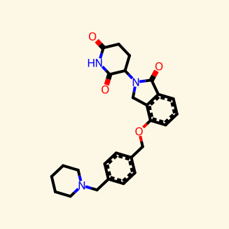 O=C1CCC(N2Cc3c(OCc4ccc(CN5CCCCC5)cc4)cccc3C2=O)C(=O)N1